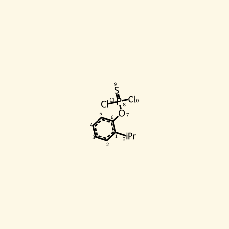 CC(C)c1ccccc1OP(=S)(Cl)Cl